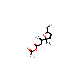 C=C(CC(=O)OC(C)=O)C1(C)C=CC(CC)O1